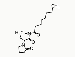 CCCCCCCC(=O)NC(=O)[C@H](CC)N1CCCC1=O